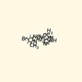 Cc1cc(Br)cc([N+](=O)[O-])c1NC1CCN(C(=O)c2cncc3[nH]nc(C)c23)C1